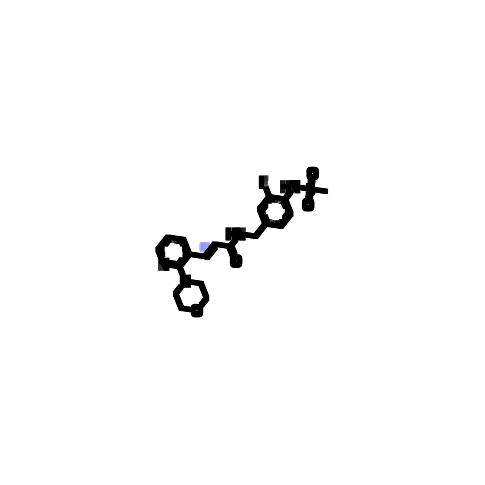 CS(=O)(=O)Nc1ccc(CNC(=O)/C=C/c2cccnc2N2CCOCC2)cc1F